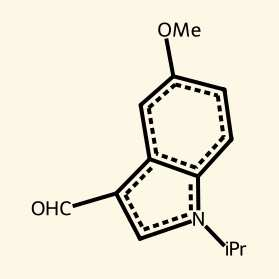 COc1ccc2c(c1)c(C=O)cn2C(C)C